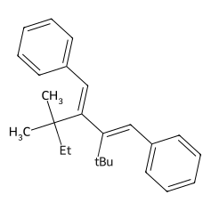 CCC(C)(C)C(=Cc1ccccc1)C(=Cc1ccccc1)C(C)(C)C